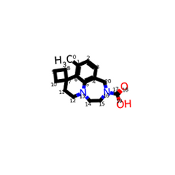 Cc1ccc2c3c1C1(CCC1)CCN3CCN(C(=O)O)C2